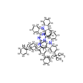 CCCCc1ccc2c(c1)c1cc(C(C)(C)C)ccc1n2-c1ccccc1-c1nc(-c2ccccc2-n2c3ccccc3c3ccccc32)nc(-n2c3ccc(-c4ccccc4)cc3c3cc(-c4ccccc4)ccc32)n1